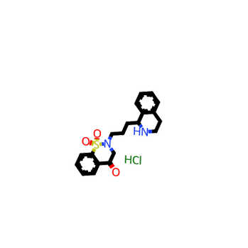 Cl.O=C1CN(CCCC2NCCc3ccccc32)S(=O)(=O)c2ccccc21